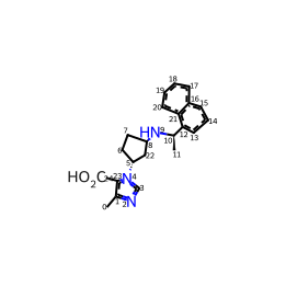 Cc1ncn([C@@H]2CC[C@@H](N[C@H](C)c3cccc4ccccc34)C2)c1C(=O)O